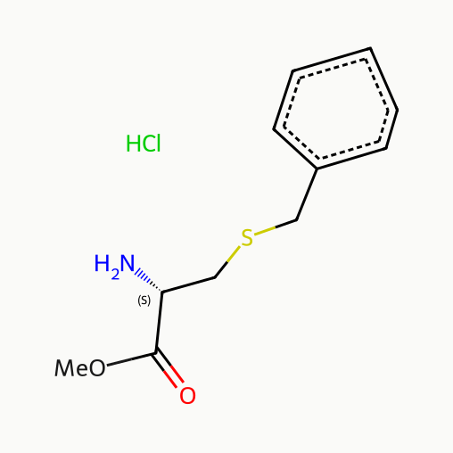 COC(=O)[C@H](N)CSCc1ccccc1.Cl